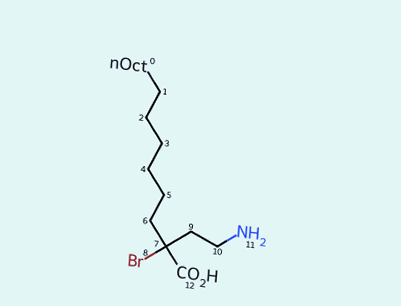 CCCCCCCCCCCCCCC(Br)(CCN)C(=O)O